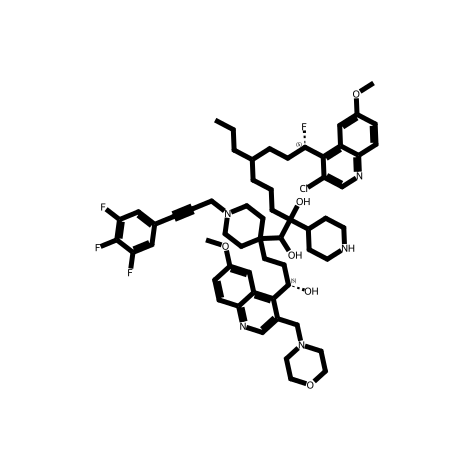 CCCC(CCCC(O)(C1CCNCC1)C(O)C1(CC[C@H](O)c2c(CN3CCOCC3)cnc3ccc(OC)cc23)CCN(CC#Cc2cc(F)c(F)c(F)c2)CC1)CC[C@H](F)c1c(Cl)cnc2ccc(OC)cc12